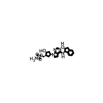 NS(=O)(=O)OC[C@@H]1C[C@@H](n2ccc3c(N[C@@H]4c5ccccc5CC4O)ncnc32)C[C@@H]1O